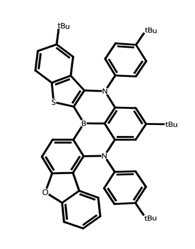 CC(C)(C)c1ccc(N2c3cc(C(C)(C)C)cc4c3B(c3ccc5oc6ccccc6c5c3N4c3ccc(C(C)(C)C)cc3)c3sc4ccc(C(C)(C)C)cc4c32)cc1